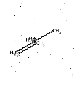 CCCCCCCCCCCCCC(C)P(C(C)CCCCCCCCCCCCC)C(C)CCCCCCCCCCCCC